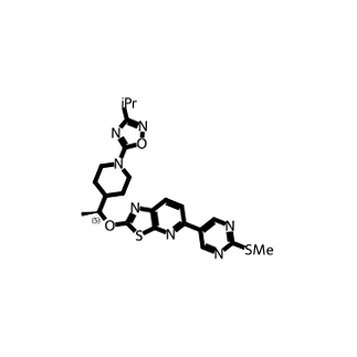 CSc1ncc(-c2ccc3nc(O[C@@H](C)C4CCN(c5nc(C(C)C)no5)CC4)sc3n2)cn1